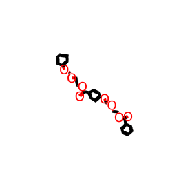 O=C(OCCOCOc1ccc(C(=O)OCCOCOc2ccccc2)cc1)c1ccccc1